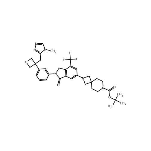 Cn1cnnc1CC1(c2cccc(N3Cc4c(cc(N5CC6(CCN(C(=O)OC(C)(C)C)CC6)C5)cc4C(F)(F)F)C3=O)c2)COC1